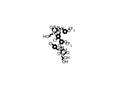 CN1C(=O)CN(CCCO)C(=O)c2c1nc(Oc1cccc(OC(F)(F)F)c1)n2Cc1ccc(Cl)c(-c2cc(Oc3nc4c(n3Cc3ccc(Cl)cc3)C(=O)N(CC(O)CO)CC(=O)N4C)cc(OC(F)(F)F)c2)c1